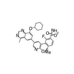 COc1ncc(-c2cc(OC3CCCCC3)c3ncnc(C)c3c2)cc1-c1c(F)ccc(S(N)(=O)=O)c1F